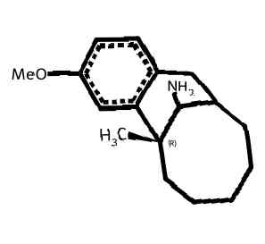 COc1ccc2c(c1)[C@@]1(C)CCCCCC(C2)C1N